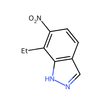 CCc1c([N+](=O)[O-])ccc2cn[nH]c12